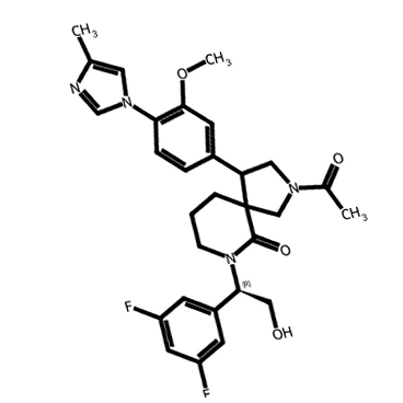 COc1cc(C2CN(C(C)=O)CC23CCCN([C@@H](CO)c2cc(F)cc(F)c2)C3=O)ccc1-n1cnc(C)c1